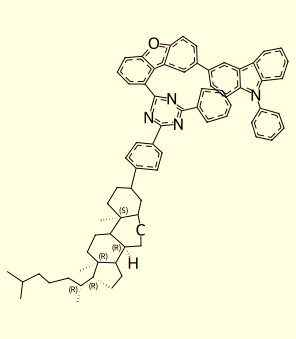 CC(C)CCC[C@@H](C)[C@H]1CCC2[C@@H]3CCC4CC(c5ccc(-c6nc(-c7ccccc7)nc(-c7cccc8oc9ccc(-c%10ccc%11c(c%10)c%10ccccc%10n%11-c%10ccccc%10)cc9c78)n6)cc5)CC[C@]4(C)C3CC[C@@]21C